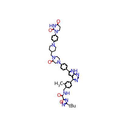 Cc1cc(-c2ncnc3[nH]c(-c4ccc(N5CCN(CC6CCN(c7ccc(N8CCC(=O)NC8=O)cc7)CC6)C(=O)C5)cc4)cc23)ccc1CNC(=O)c1nc(C(C)(C)C)no1